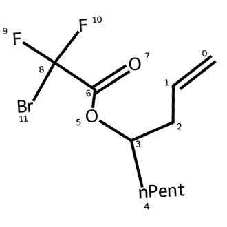 C=CCC(CCCCC)OC(=O)C(F)(F)Br